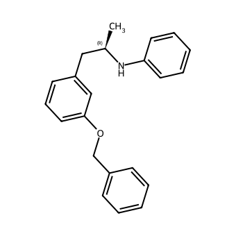 C[C@H](Cc1cccc(OCc2ccccc2)c1)Nc1ccccc1